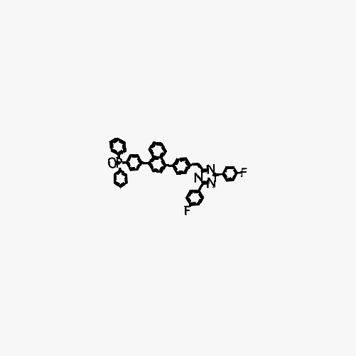 O=P(c1ccccc1)(c1ccccc1)c1ccc(-c2ccc(-c3ccc(Cc4nc(-c5ccc(F)cc5)nc(-c5ccc(F)cc5)n4)cc3)c3ccccc23)cc1